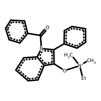 CC[N+](C)(C)Oc1c(-c2ccccc2)n(C(=O)c2ccccc2)c2ccccc12